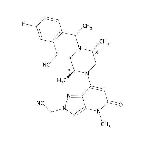 CC(c1ccc(F)cc1CC#N)N1C[C@H](C)N(c2cc(=O)n(C)c3cn(CC#N)nc23)C[C@H]1C